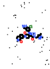 Cc1cc(CNC(=O)c2nn(-c3cc(Cl)cc(CN)c3)c3c2CCN(c2ccc4c(c2)C(=O)N(C)CC4)C3=O)nn1C